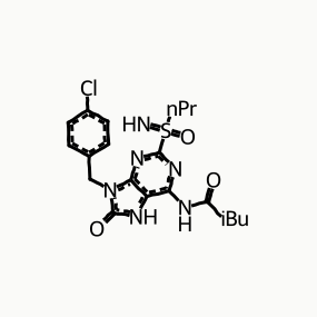 CCCS(=N)(=O)c1nc(NC(=O)C(C)CC)c2[nH]c(=O)n(Cc3ccc(Cl)cc3)c2n1